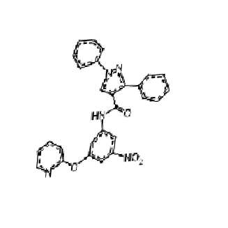 O=C(Nc1cc(Oc2ccccn2)cc([N+](=O)[O-])c1)c1cn(-c2ccccc2)nc1-c1ccccc1